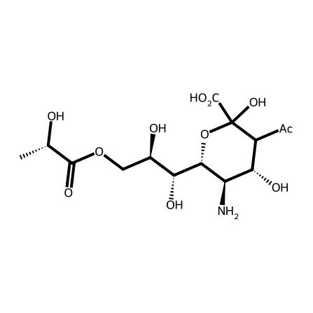 CC(=O)C1[C@H](O)[C@@H](N)[C@H]([C@H](O)[C@H](O)COC(=O)[C@H](C)O)OC1(O)C(=O)O